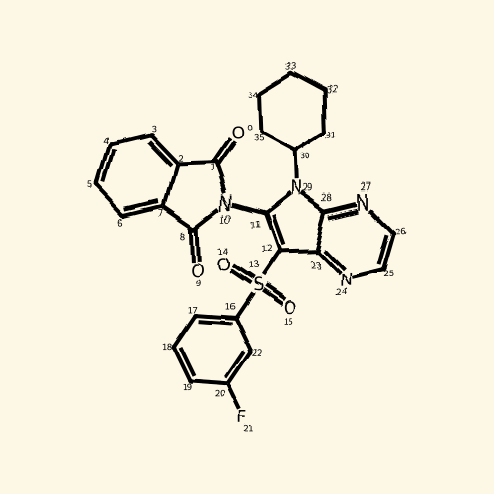 O=C1c2ccccc2C(=O)N1c1c(S(=O)(=O)c2cccc(F)c2)c2nccnc2n1C1CCCCC1